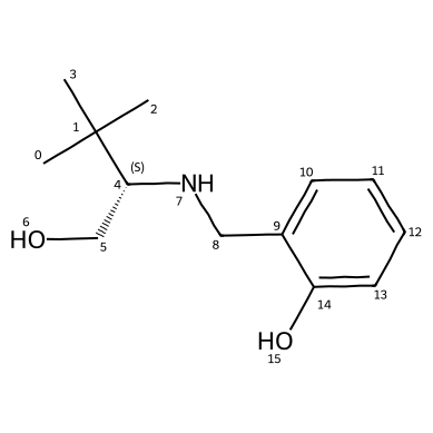 CC(C)(C)[C@@H](CO)NCc1ccccc1O